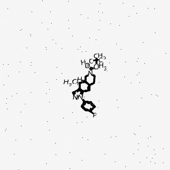 C[C@H]1c2cnn(-c3ccc(F)cc3)c2C=C2CCN(C(=O)OC(C)(C)C)C[C@H]21